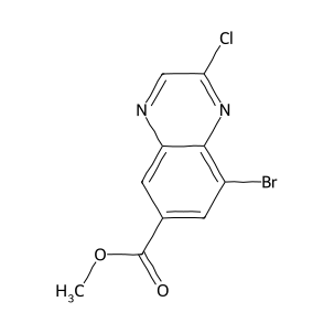 COC(=O)c1cc(Br)c2nc(Cl)cnc2c1